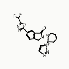 O=C1c2cc(-c3nnc(C(F)F)o3)ccc2CN1[C@@H]1CCCC[C@H]1n1ccnn1